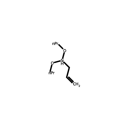 C=CC[SiH](OCCC)OCCC